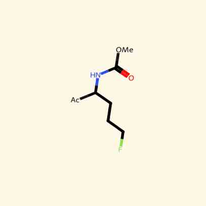 COC(=O)NC(CCCF)C(C)=O